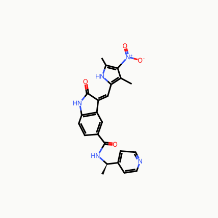 Cc1[nH]c(/C=C2\C(=O)Nc3ccc(C(=O)N[C@H](C)c4ccncc4)cc32)c(C)c1[N+](=O)[O-]